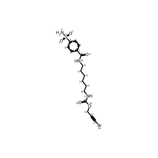 NS(=O)(=O)c1ccc(C(=O)NCCCCCCNC(=O)OCC#CBr)cc1